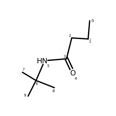 C[CH]CC(=O)NC(C)(C)C